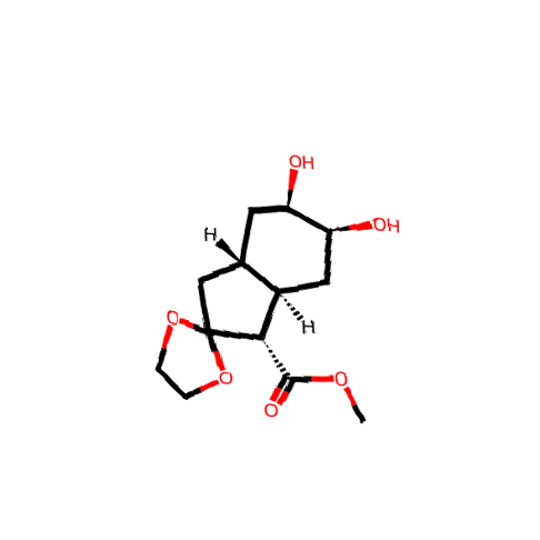 COC(=O)[C@H]1[C@@H]2C[C@H](O)[C@H](O)C[C@H]2CC12OCCO2